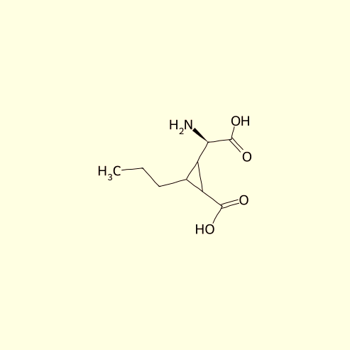 CCCC1C(C(=O)O)C1[C@@H](N)C(=O)O